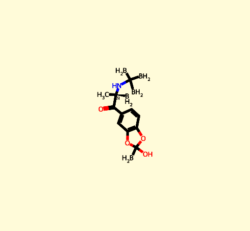 BC(B)(B)N[C@@](B)(C)C(=O)c1ccc2c(c1)OC(B)(O)O2